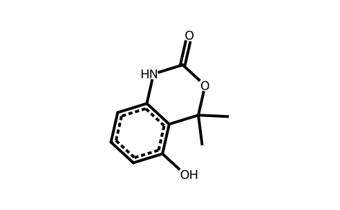 CC1(C)OC(=O)Nc2cccc(O)c21